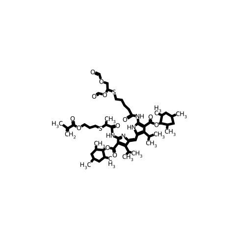 C=C(C)C(=O)OCCCSC(C)C(=O)NC1=N/C(=C\c2[nH]c(NC(=O)CCCCSC(COC=O)OC=O)c(C(=O)OC3C(C)CC(C)CC3C)c2C(C)C)C(C(C)C)=C1C(=O)OC1C(C)CC(C)CC1C